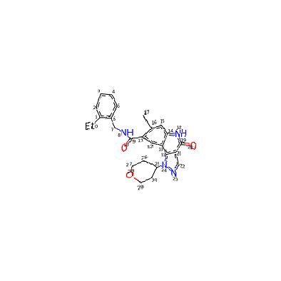 CCc1ccccc1CNC(=O)c1cc2c(cc1C)[nH]c(=O)c1cnn(C3CCOCC3)c12